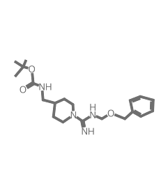 CC(C)(C)OC(=O)NCC1CCN(C(=N)NCOCc2ccccc2)CC1